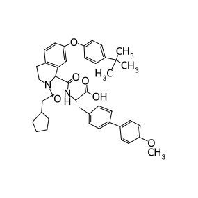 COc1ccc(-c2ccc(C[C@H](NC(=O)C3c4cc(Oc5ccc(C(C)(C)C)cc5)ccc4CCN3C(=O)CC3CCCC3)C(=O)O)cc2)cc1